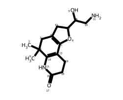 CC1(C)CC2=C(OC(C(O)CN)C2)C2=C1NC(=O)CC2